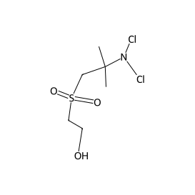 CC(C)(CS(=O)(=O)CCO)N(Cl)Cl